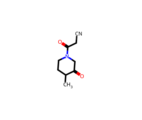 CC1CCN(C(=O)CC#N)CC1=O